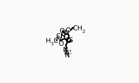 C=CCON1C(=O)N2CC1c1scc(CCN=[N+]=[N-])c1C2C(=O)N(C)C